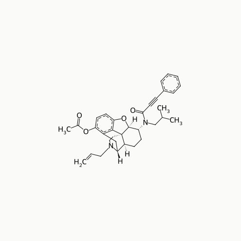 C=CCN1CC[C@@]23c4c5ccc(OC(C)=O)c4C[C@@H]1[C@@H]2CC[C@@H](N(CC(C)C)C(=O)C#Cc1ccccc1)[C@@H]3O5